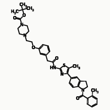 Cc1ccccc1C(=O)N1CCc2cc(-c3nc(NC(=O)Cc4cccc(OCCN5CCN(C(=O)OC(C)(C)C)CC5)c4)sc3C)ccc21